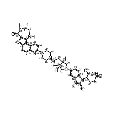 C[C@@H]1CNc2c(sc3ccc4nc(N5CCN([C@@H]6C[C@@H]7CN(c8ccc9c(c8)n(C)c(=O)n9C8CCC(=O)NC8=O)C[C@@H]7C6)CC5)ccc4c23)C(=O)N1